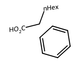 CCCCCCCC(=O)O.c1ccccc1